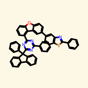 c1ccc(-c2nc(-c3cccc4oc5ccc(-c6ccc7sc(-c8ccccc8)nc7c6)cc5c34)nc(C3(c4ccccc4)c4ccccc4-c4ccccc43)n2)cc1